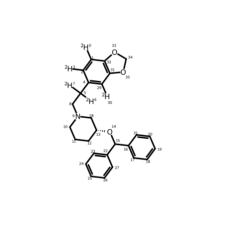 [2H]c1c([2H])c(C([2H])([2H])CN2CCC[C@@H](OC(c3ccccc3)c3ccccc3)C2)c([2H])c2c1OCO2